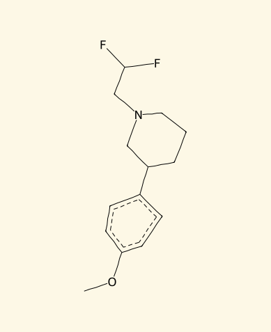 COc1ccc(C2CCCN(CC(F)F)C2)cc1